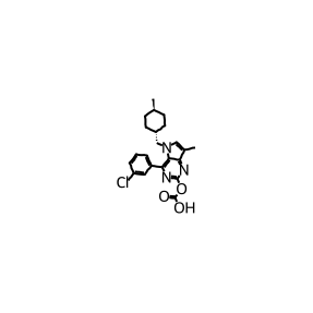 Cc1cn(C[C@H]2CC[C@H](C)CC2)c2c(-c3cccc(Cl)c3)nc(OC(=O)O)nc12